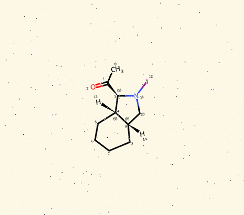 CC(=O)[C@@H]1[C@H]2CCCC[C@H]2CN1I